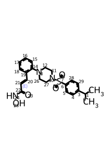 CC(C)c1ccc(S(=O)(=O)N2CCN(c3ccccc3/C=C/C(=O)NO)CC2)cc1